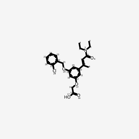 CCN(CC)C(=O)C=C(C)c1cc(OCC(=O)O)cc(OCc2ccccc2Cl)c1